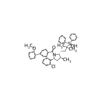 COc1ccccc1-c1ccc(C(=O)N2[C@H](CCC(C)(C)[Si](O)(c3ccccc3)c3ccccc3)[C@@H](C)C[C@H]2c2ccccc2Cl)cc1